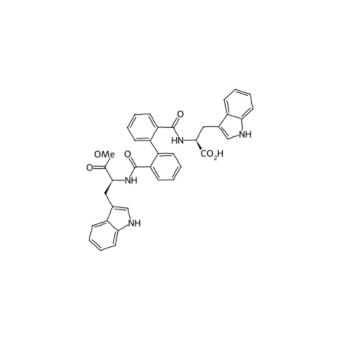 COC(=O)[C@H](Cc1c[nH]c2ccccc12)NC(=O)c1ccccc1-c1ccccc1C(=O)N[C@@H](Cc1c[nH]c2ccccc12)C(=O)O